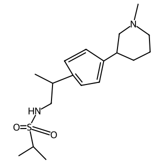 CC(CNS(=O)(=O)C(C)C)c1ccc(C2CCCN(C)C2)cc1